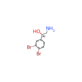 NC[C@H](O)c1ccc(Br)c(Br)c1